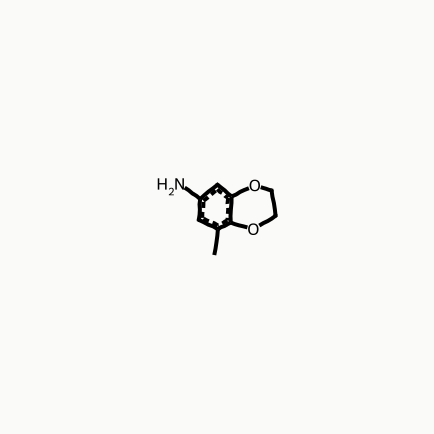 Cc1cc(N)cc2c1OCCO2